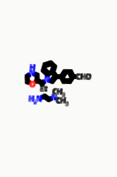 CCC(C1CNCCO1)n1cc(-c2ccc(C=O)cc2)c2ccccc21.CN(C)CCN